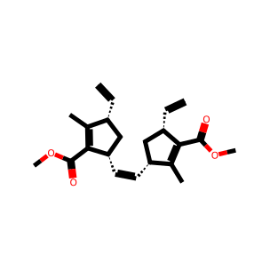 C=C[C@@H]1C[C@H](/C=C\[C@@H]2C[C@H](C=C)C(C(=O)OC)=C2C)C(C(=O)OC)=C1C